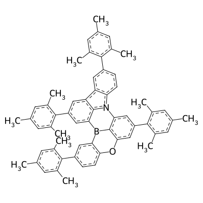 Cc1cc(C)c(-c2ccc3c(c2)B2c4c(cc(-c5c(C)cc(C)cc5C)cc4-n4c5ccc(-c6c(C)cc(C)cc6C)cc5c5cc(-c6c(C)cc(C)cc6C)cc2c54)O3)c(C)c1